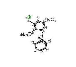 COc1c(CBr)cc([N+](=O)[O-])cc1-c1ccccc1